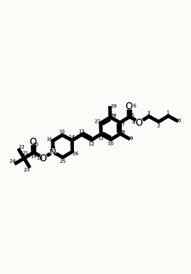 CCCCOC(=O)c1c(C)cc(/C=C/C2CCN(OC(=O)C(C)(C)C)CC2)cc1C